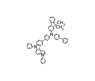 CC1(C)c2ccccc2-c2ccc(N(c3ccc(-c4ccccc4)cc3)c3ccc(-c4ccc5c(c4)c4c6ccn(-c7ccccc7)c6ccc4n5-c4ccccc4)cc3)cc21